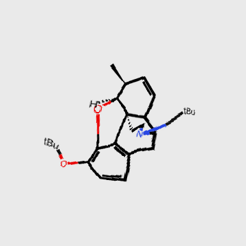 C[C@H]1C=CC2C3Cc4ccc(OC(C)(C)C)c5c4[C@@]2(CCN3C(C)(C)C)[C@H]1O5